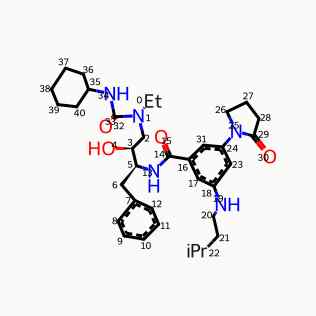 CCN(C[C@H](O)[C@H](Cc1ccccc1)NC(=O)c1cc(NCCC(C)C)cc(N2CCCC2=O)c1)C(=O)NC1CCCCC1